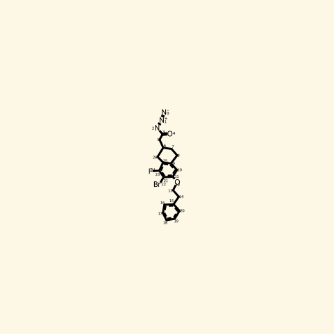 [N-]=[N+]=NC(=O)CC1CCc2cc(OCCc3ccccc3)c(Br)c(F)c2C1